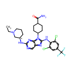 CCN1CCC[C@@H](Nc2ncc3nc(Nc4c(Cl)cc(C(F)(F)F)cc4Cl)n(C4CCC(C(N)=O)CC4)c3n2)C1